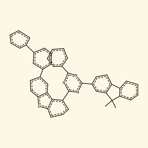 CC1(C)c2ccccc2-c2ccc(-c3nc(-c4ccccc4)nc(-c4cccc5sc6ccc(-c7cccc(-c8ccccc8)c7)cc6c45)n3)cc21